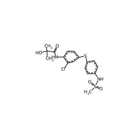 CC(C)(O)C(=O)Nc1ccc(Sc2ccc(NS(C)(=O)=O)cc2)cc1Cl